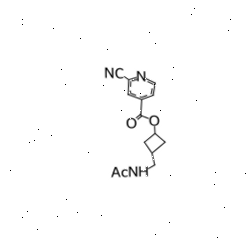 CC(=O)NCC1CC(OC(=O)c2ccnc(C#N)c2)C1